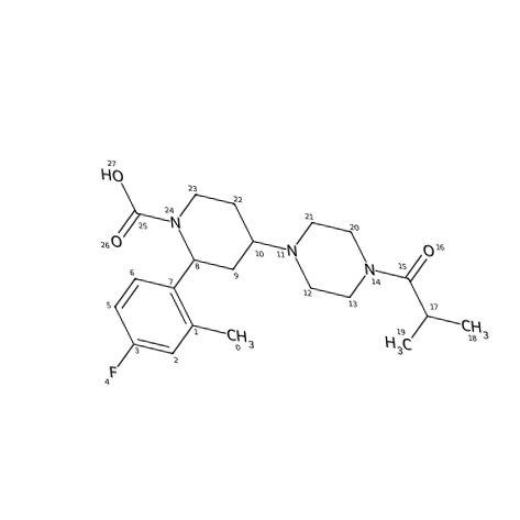 Cc1cc(F)ccc1C1CC(N2CCN(C(=O)C(C)C)CC2)CCN1C(=O)O